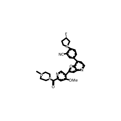 COc1cc(C(=O)N2CCN(C)CC2)ncc1-c1cc2nccc(-c3ccc(N4CC[C@H](F)C4)c(C#N)c3)c2o1